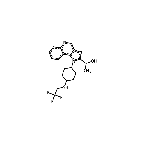 CC(O)c1nc2cnc3ccccc3c2n1C1CCC(NCC(F)(F)F)CC1